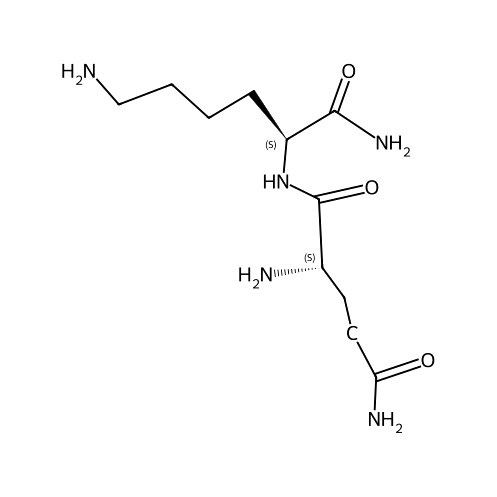 NCCCC[C@H](NC(=O)[C@@H](N)CCC(N)=O)C(N)=O